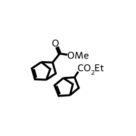 CCOC(=O)C1CC2C=CC1C2.COC(=O)C1CC2C=CC1C2